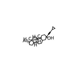 CC(=O)[C@H]1CC[C@H]2[C@@H]3CCC4C[C@@](O)(C#CC5CC5)CC[C@]4(C)[C@H]3CC[C@]12C